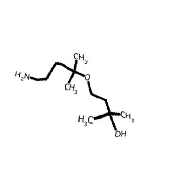 CC(C)(O)CCOC(C)(C)CCN